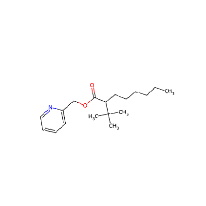 CCCCCCC(C(=O)OCc1ccccn1)C(C)(C)C